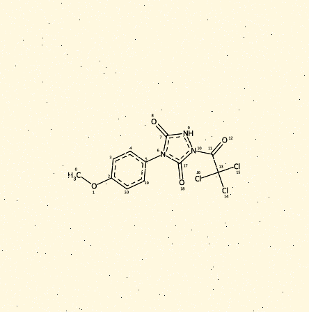 COc1ccc(-n2c(=O)[nH]n(C(=O)C(Cl)(Cl)Cl)c2=O)cc1